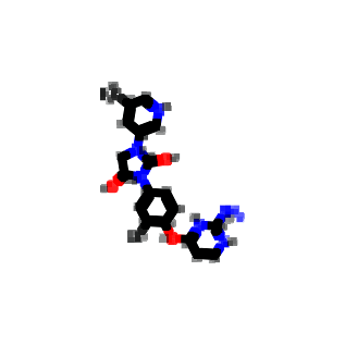 CCc1cc(N2C(=O)CN(c3cncc(C(F)(F)F)c3)C2=O)ccc1Oc1ccnc(N)n1